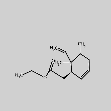 C=C[C@@]1(C)[C@H](C)CC=C[C@H]1CC(=O)OCC